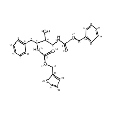 O=C(NCC(O)C(Cc1ccccc1)NC(=O)OCc1cncs1)OCc1ccccc1